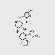 CSN(C)c1c(Nc2nc(Nc3cc(C)nn3C)ncc2Br)ccc2nccnc12